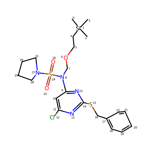 C[Si](C)(C)CCOCN(c1cc(Cl)nc(SCc2ccccc2)n1)S(=O)(=O)N1CCCC1